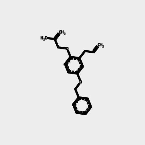 C=CCc1cc(OCc2ccccc2)c[c]c1OCC(=C)C